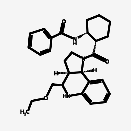 CCOC[C@@H]1Nc2ccccc2[C@H]2[C@@H]1CCN2C(=O)[C@H]1CCCC[C@H]1NC(=O)c1ccccc1